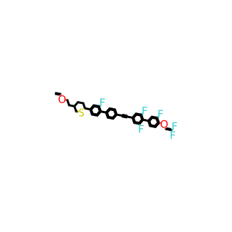 C=COCCC1CCC(c2ccc(-c3ccc(C#Cc4cc(F)c(-c5ccc(OC=C(F)F)c(F)c5)c(F)c4)cc3)c(F)c2)SC1